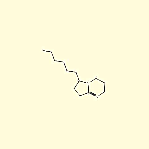 CCCCCCC1CCC2=NCCCN21